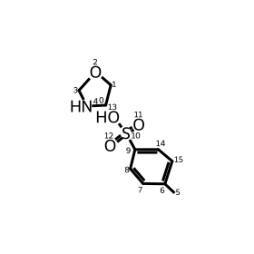 C1COCN1.Cc1ccc(S(=O)(=O)O)cc1